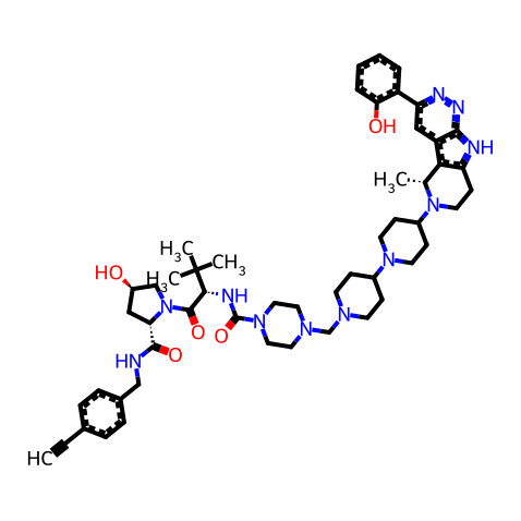 C#Cc1ccc(CNC(=O)[C@@H]2C[C@@H](O)CN2C(=O)[C@@H](NC(=O)N2CCN(CN3CCC(N4CCC(N5CCc6[nH]c7nnc(-c8ccccc8O)cc7c6[C@H]5C)CC4)CC3)CC2)C(C)(C)C)cc1